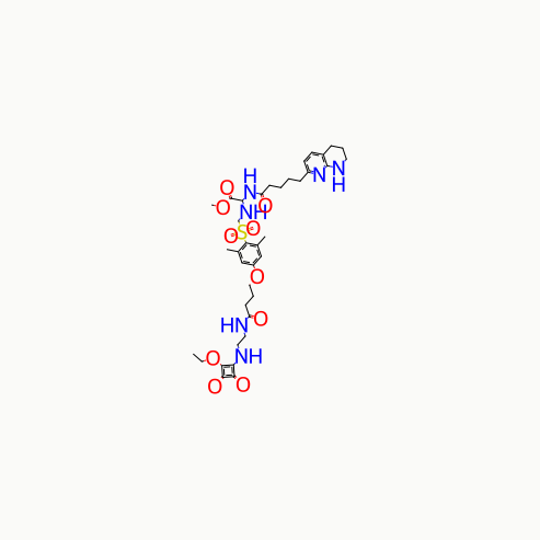 CCOc1c(NCCNC(=O)CCCOc2cc(C)c(S(=O)(=O)CNC(NC(=O)CCCCc3ccc4c(n3)NCCC4)C(=O)OC)c(C)c2)c(=O)c1=O